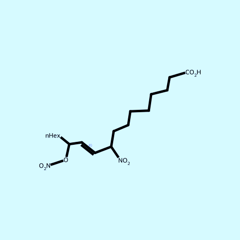 CCCCCCC(/C=C/C(CCCCCCCC(=O)O)[N+](=O)[O-])O[N+](=O)[O-]